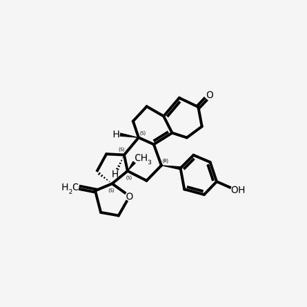 C=C1CCO[C@@]12CC[C@H]1[C@@H]3CCC4=CC(=O)CCC4=C3[C@@H](c3ccc(O)cc3)C[C@@]12C